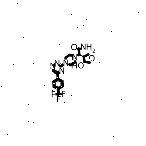 NC(=O)C([C@H]1COC[C@H]1O)N1CCN(c2nncc(-c3ccc(C(F)(F)F)cc3)n2)CC1